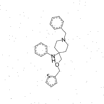 c1ccc(CN2CCC(COCc3cccs3)(Nc3ccccc3)CC2)cc1